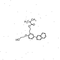 C=C(C)C(=O)OCCc1cc(-c2ccc3ccccc3c2)ccc1OCCO